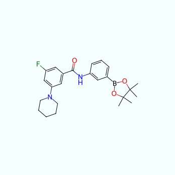 CC1(C)OB(c2cccc(NC(=O)c3cc(F)cc(N4CCCCC4)c3)c2)OC1(C)C